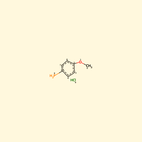 COc1ccc(P)cc1.Cl